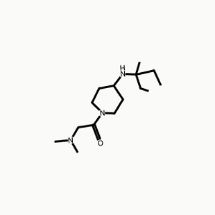 CCC(C)(CC)NC1CCN(C(=O)CN(C)C)CC1